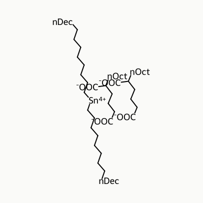 CCCCCCCCC(CCCC(=O)[O-])C(=O)[O-].CCCCCCCCC(CCCC(=O)[O-])C(=O)[O-].CCCCCCCCCCCCCCCCC[CH2][Sn+4][CH2]CCCCCCCCCCCCCCCCC